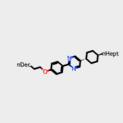 CCCCCCCCCCCCOc1ccc(-c2ncc([C@H]3CC[C@H](CCCCCCC)CC3)cn2)cc1